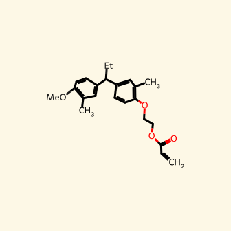 C=CC(=O)OCCOc1ccc(C(CC)c2ccc(OC)c(C)c2)cc1C